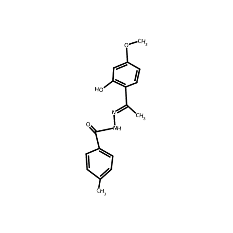 COc1ccc(/C(C)=N/NC(=O)c2ccc(C)cc2)c(O)c1